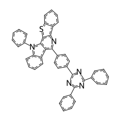 c1ccc(-c2nc(-c3ccccc3)nc(-c3ccc(-c4nc5c6ccccc6sc5c5c4c4ccccc4n5-c4ccccc4)cc3)n2)cc1